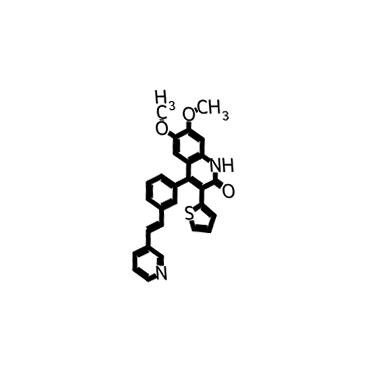 COc1cc2[nH]c(=O)c(-c3cccs3)c(-c3cccc(C=Cc4cccnc4)c3)c2cc1OC